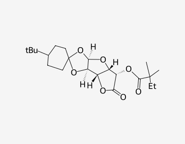 CCC(C)(C)C(=O)O[C@@H]1C(=O)O[C@@H]2[C@H]3OC4(CCC(C(C)(C)C)CC4)O[C@H]3O[C@@H]21